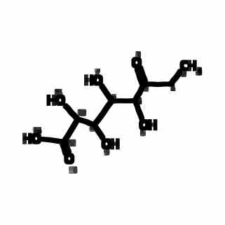 CCC(=O)C(O)C(O)C(O)C(O)C(=O)O